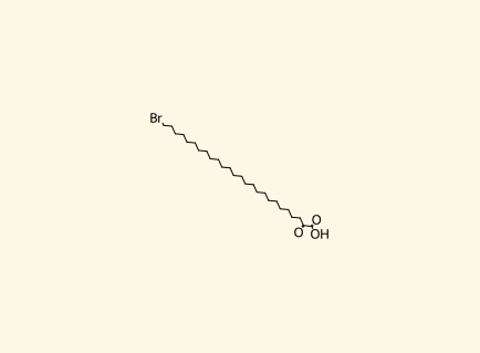 O=C(O)C(=O)CCCCCCCCCCCCCCCCCCCCCCCCBr